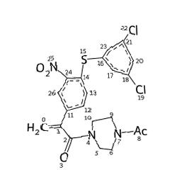 C=C(C(=O)N1CCN(C(C)=O)CC1)c1ccc(Sc2cc(Cl)cc(Cl)c2)c([N+](=O)[O-])c1